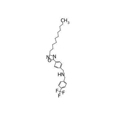 CCCCCCCCCCCc1noc(-c2ccc(CNCc3ccc(C(F)(F)F)cc3)cc2)n1